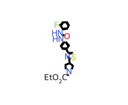 CCOC(=O)CN1CCC(c2nc(-c3ccc(NC(=O)Nc4ccccc4F)cc3)cs2)CC1